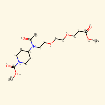 CCC(=O)N(CCOCCOCCC(=O)OC(C)(C)C)C1CCN(C(=O)OC(C)(C)C)CC1